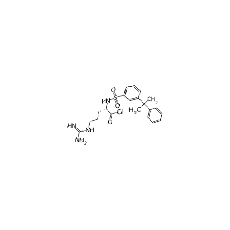 CC(C)(c1ccccc1)c1cccc(S(=O)(=O)N[C@@H](CCCNC(=N)N)C(=O)Cl)c1